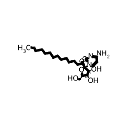 CCCCCCCCCCCCCC(=O)[C@@]1(n2ccc(N)nc2=O)O[C@H](CO)[C@@H](O)[C@H]1O